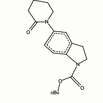 CCCCOC(=O)N1CCc2cc(N3CCCCC3=O)ccc21